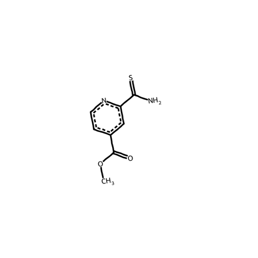 COC(=O)c1ccnc(C(N)=S)c1